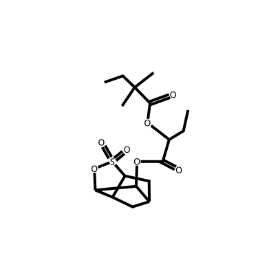 CCC(OC(=O)C(C)(C)CC)C(=O)OC1C2CC3C1OS(=O)(=O)C3C2